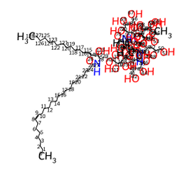 CCCCCCCC/C=C\CCCCCCCCCCCCCCCC(=O)N[C@@H](CO[C@@H]1OC(CO)[C@@H](O[C@@H]2OC(CO)[C@H](O)[C@H](O[C@@H]3OC(CO)[C@@H](O[C@@H]4OC(CO)[C@H](O)[C@H](O[C@H]5OC(CO)[C@H](O)[C@H](O)C5NC(C)=O)C4O[C@H]4OC(C)[C@@H](O)C(O)[C@@H]4O)[C@H](O[C@H]4OC(C)[C@@H](O)C(O)[C@@H]4O)C3NC(C)=O)C2O)[C@H](O)C1O)[C@H](O)/C=C/CCCCCCCCCCCCC